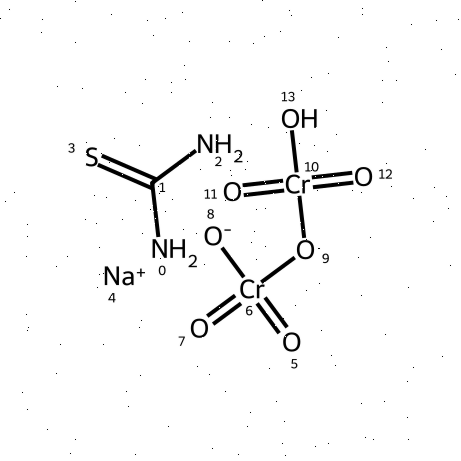 NC(N)=S.[Na+].[O]=[Cr](=[O])([O-])[O][Cr](=[O])(=[O])[OH]